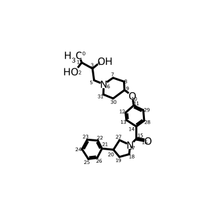 CC(O)C(O)CN1CCC(Oc2ccc(C(=O)N3CCC(c4ccccc4)C3)cc2)CC1